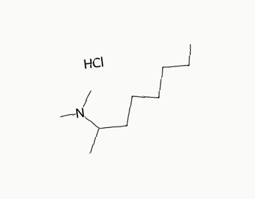 CCCCCCC(C)N(C)C.Cl